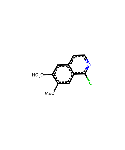 COc1cc2c(Cl)nccc2cc1C(=O)O